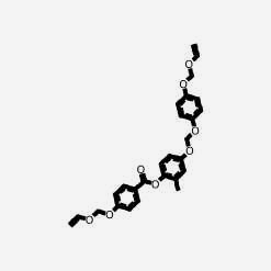 C=COCOc1ccc(OCOc2ccc(OC(=O)c3ccc(OCOC=C)cc3)c(C)c2)cc1